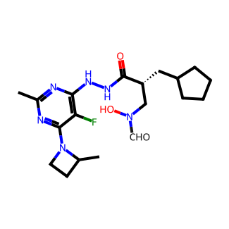 Cc1nc(NNC(=O)[C@H](CC2CCCC2)CN(O)C=O)c(F)c(N2CCC2C)n1